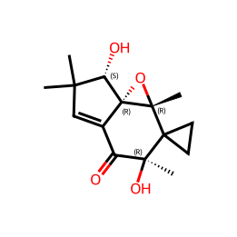 CC1(C)C=C2C(=O)[C@](C)(O)C3(CC3)[C@@]3(C)O[C@@]23[C@H]1O